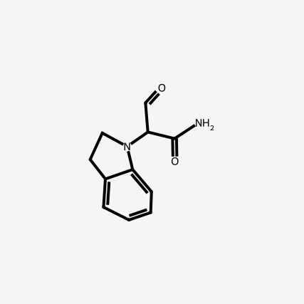 NC(=O)C(C=O)N1CCc2ccccc21